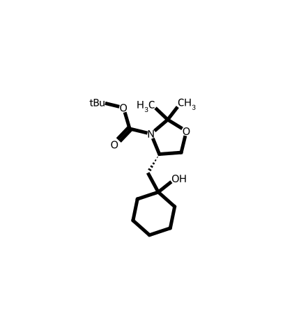 CC(C)(C)OC(=O)N1[C@@H](CC2(O)CCCCC2)COC1(C)C